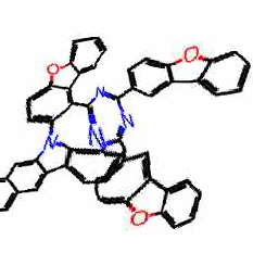 c1ccc2cc3c(cc2c1)c1ccccc1n3-c1ccc2oc3ccccc3c2c1-c1nc(-c2ccc3oc4ccccc4c3c2)nc(-c2ccc3oc4ccccc4c3c2)n1